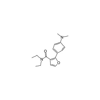 CCN(CC)C(=O)c1ccoc1-c1ccc(N(C)C)cc1